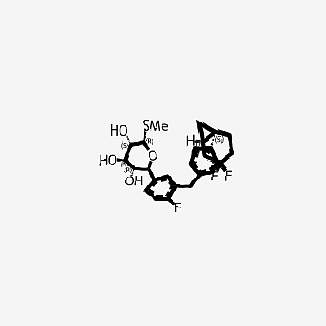 CS[C@H]1OC(c2ccc(F)c(Cc3ccc([C@]45CCC(F)(F)C[C@H]4C5)cc3)c2)[C@H](O)[C@@H](O)[C@@H]1O